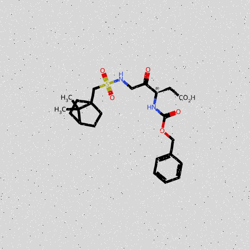 CC1(C)C2CCC1(CS(=O)(=O)NCC(=O)[C@@H](CC(=O)O)NC(=O)OCc1ccccc1)CC2